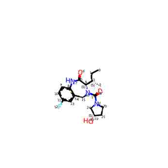 CC[C@H](C)[C@H]1C(=O)Nc2ccc(F)cc2CN1C(=O)N1CC[C@H](O)C1